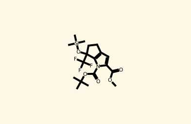 COC(=O)c1cc2c(n1C(=O)OC(C)(C)C)C(O[Si](C)(C)C)(C(F)(F)F)CC2